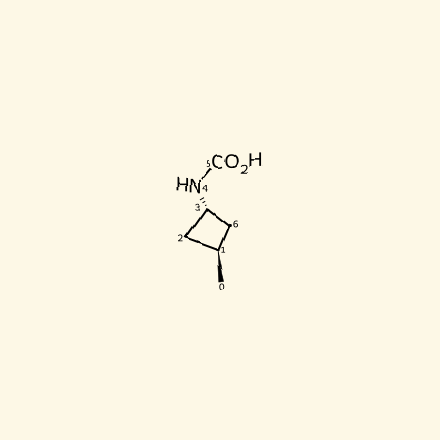 C[C@H]1C[C@H](NC(=O)O)C1